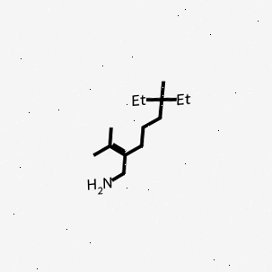 CCC(C)(CC)CCCC(CN)=C(C)C